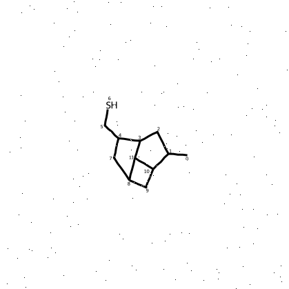 CC1CC2C(CS)CC3CC1C32